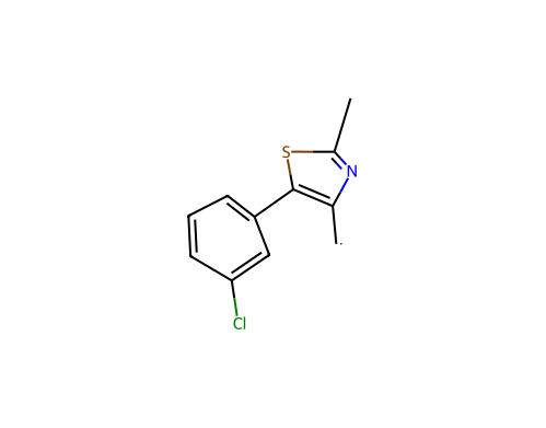 [CH2]c1nc(C)sc1-c1cccc(Cl)c1